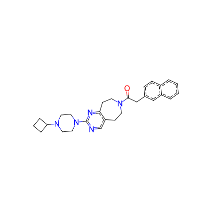 O=C(Cc1ccc2ccccc2c1)N1CCc2cnc(N3CCN(C4CCC4)CC3)nc2CC1